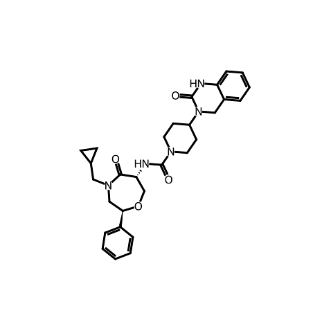 O=C(N[C@@H]1CO[C@@H](c2ccccc2)CN(CC2CC2)C1=O)N1CCC(N2Cc3ccccc3NC2=O)CC1